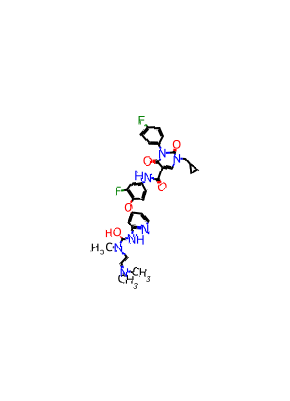 CN(C)CCN(C)C(O)Nc1cc(Oc2ccc(NC(=O)c3cn(CC4CC4)c(=O)n(-c4ccc(F)cc4)c3=O)cc2F)ccn1